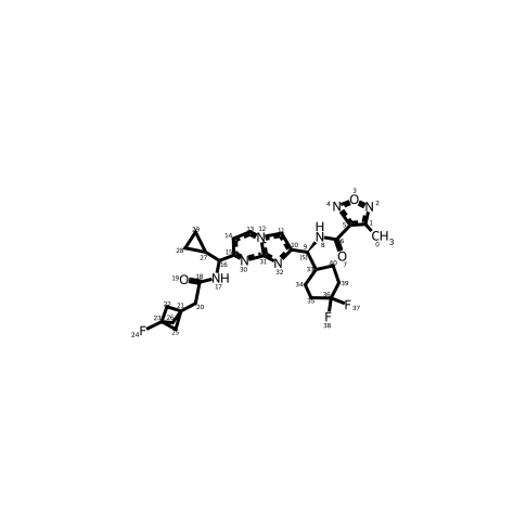 Cc1nonc1C(=O)N[C@H](c1cn2ccc(C(NC(=O)CC34CC(F)(C3)C4)C3CC3)nc2n1)C1CCC(F)(F)CC1